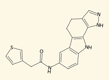 O=C(Cc1ccsc1)Nc1ccc2[nH]c3c(c2c1)CCc1cn[nH]c1-3